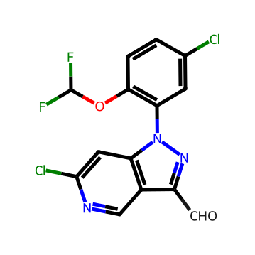 O=Cc1nn(-c2cc(Cl)ccc2OC(F)F)c2cc(Cl)ncc12